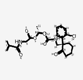 CC(C)C(=O)NCC(=O)O[C@H](C)OC(=O)NC[C@@]1(c2ccccc2Cl)CCCCC1=O